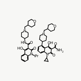 CC(C)n1c(=O)c(C(=O)NC2CCN(CC3CCOCC3)CC2)c(O)c2ccccc21.NC(=O)c1c(O)c2c(C3CCN(CC4CCOCC4)CC3)cccc2n(C2CC2)c1=O